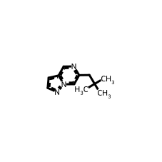 CC(C)(C)Cc1cn2nccc2cn1